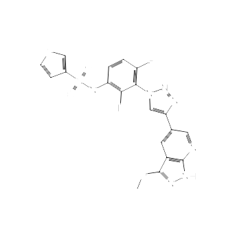 COc1n[nH]c2ncc(-c3cn(-c4c(F)ccc(NS(=O)(=O)c5ccsc5)c4F)nn3)cc12